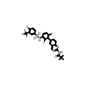 CC(C)(C)C(=O)Nc1ncc2cc(-c3c(F)ccc(NS(=O)(=O)c4ccc(F)c(C(F)(F)F)c4)c3F)ccc2n1